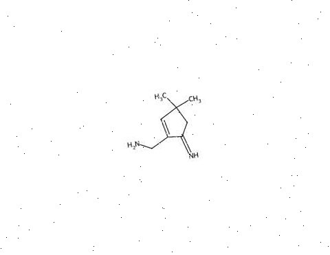 CC1(C)C=C(CN)C(=N)C1